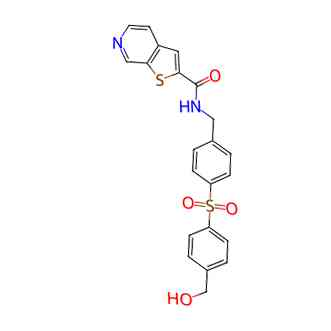 O=C(NCc1ccc(S(=O)(=O)c2ccc(CO)cc2)cc1)c1cc2ccncc2s1